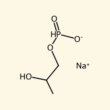 CC(O)CO[PH](=O)[O-].[Na+]